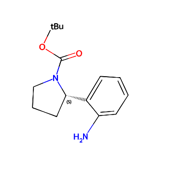 CC(C)(C)OC(=O)N1CCC[C@H]1c1ccccc1N